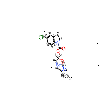 CC1(COC(=O)N2CCc3cc(Cl)ccc32)Cn2cc([N+](=O)[O-])nc2O1